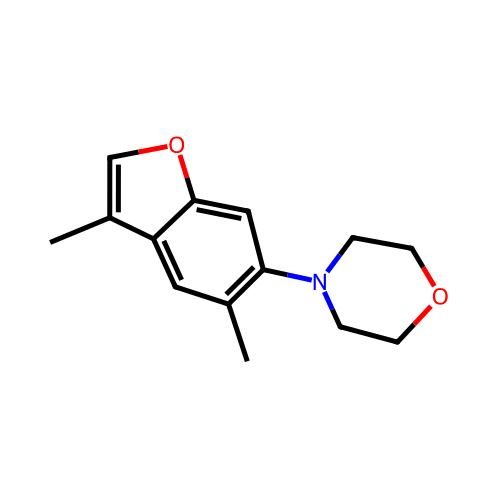 Cc1cc2c(C)coc2cc1N1CCOCC1